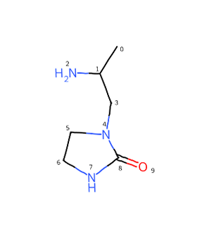 CC(N)CN1CCNC1=O